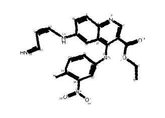 CCOC(=O)c1cnc2ccc(N/C=C\C=N)cc2c1Nc1ccc(C)c([N+](=O)[O-])c1